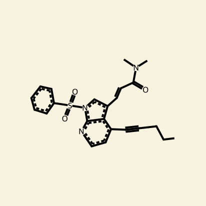 CCCC#Cc1ccnc2c1c(C=CC(=O)N(C)C)cn2S(=O)(=O)c1ccccc1